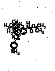 Cc1nc([C@H]2CC[C@H](N)CC2)sc1-c1ccc(NC(=O)OC(C)C)cc1S(=O)(=O)NC(C)(C)C